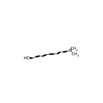 C#CC#CC#CC#CC#CC#CN(C)C